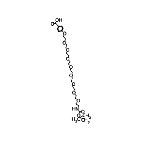 CC(C)(C)OC(=O)NCCOCCOCCOCCOCCOCCOCCOCCOCCOc1ccc(C(=O)O)cc1